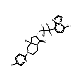 [2H]c1ccc(C([2H])([2H])C([2H])([2H])C[C@H]2C[C@H]3CN(c4ccc(F)cn4)CCN3C2=O)c2ncnn12